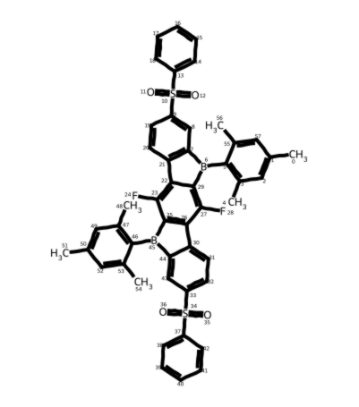 Cc1cc(C)c(B2c3cc(S(=O)(=O)c4ccccc4)ccc3-c3c(F)c4c(c(F)c32)-c2ccc(S(=O)(=O)c3ccccc3)cc2B4c2c(C)cc(C)cc2C)c(C)c1